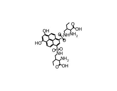 CCC(CNS(=O)(=O)c1cc(S(=O)(=O)NCC(CC)C(N)C(=O)O)c2ccc3c(O)cc(O)c4ccc1c2c43)C(N)C(=O)O